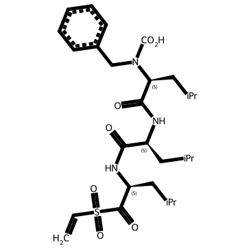 C=CS(=O)(=O)C(=O)[C@H](CC(C)C)NC(=O)[C@H](CC(C)C)NC(=O)[C@H](CC(C)C)N(Cc1ccccc1)C(=O)O